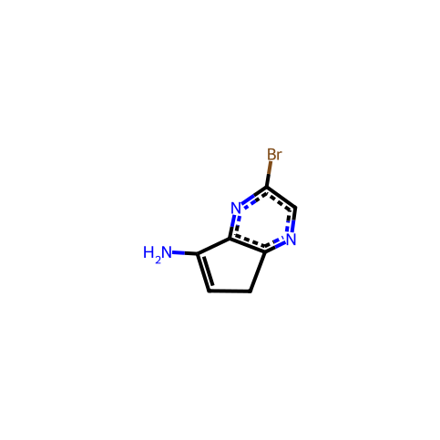 NC1=CCc2ncc(Br)nc21